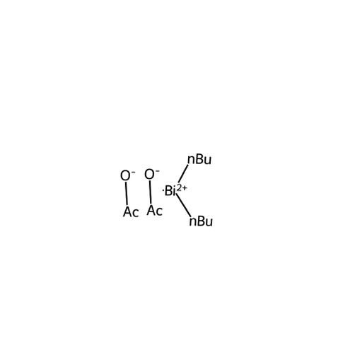 CC(=O)[O-].CC(=O)[O-].CCC[CH2][Bi+2][CH2]CCC